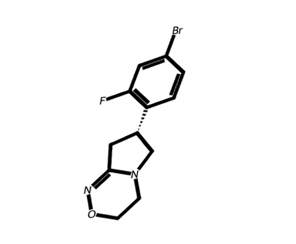 Fc1cc(Br)ccc1[C@H]1CC2=NOCCN2C1